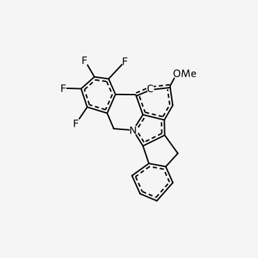 COc1cc2c3c(c1)c1c(n3Cc3c(F)c(F)c(F)c(F)c3-2)-c2ccccc2C1